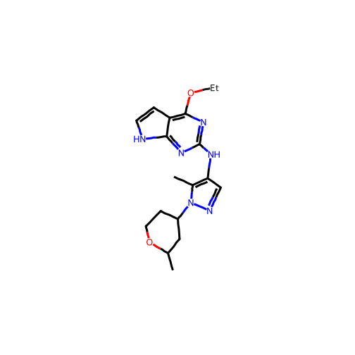 CCOc1nc(Nc2cnn(C3CCOC(C)C3)c2C)nc2[nH]ccc12